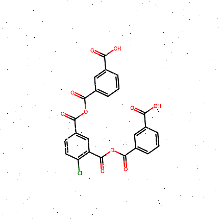 O=C(O)c1cccc(C(=O)OC(=O)c2ccc(Cl)c(C(=O)OC(=O)c3cccc(C(=O)O)c3)c2)c1